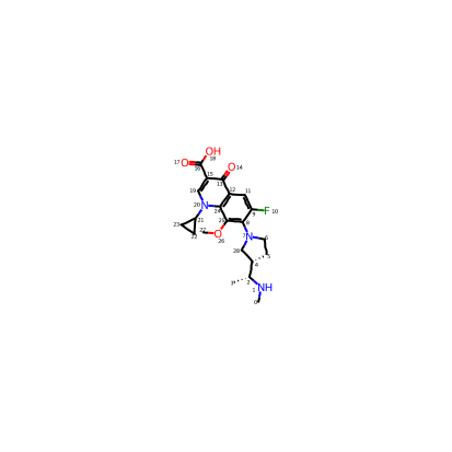 CN[C@H](C)[C@H]1CCN(c2c(F)cc3c(=O)c(C(=O)O)cn(C4CC4)c3c2OC)C1